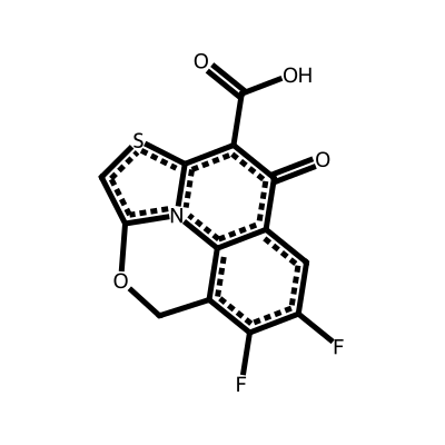 O=C(O)c1c(=O)c2cc(F)c(F)c3c2n2c(csc12)OC3